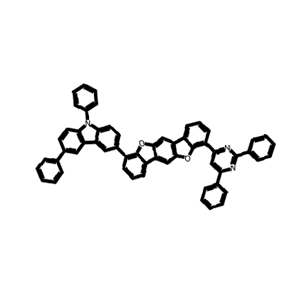 c1ccc(-c2ccc3c(c2)c2cc(-c4cccc5c4oc4cc6c(cc45)oc4c(-c5cc(-c7ccccc7)nc(-c7ccccc7)n5)cccc46)ccc2n3-c2ccccc2)cc1